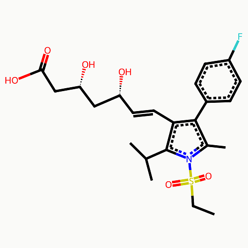 CCS(=O)(=O)n1c(C)c(-c2ccc(F)cc2)c(/C=C/[C@@H](O)C[C@@H](O)CC(=O)O)c1C(C)C